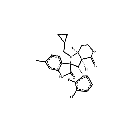 Cc1ccc2c(c1)NC(=O)[C@]21[C@@H](c2cccc(Cl)c2F)[C@@H]2C(=O)NCC[C@@H]2N1CC1CC1